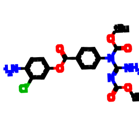 CC(C)(C)OC(=O)N=C(N)N(C(=O)OC(C)(C)C)c1ccc(C(=O)Oc2ccc(N)c(Cl)c2)cc1